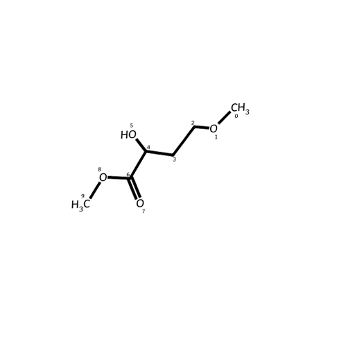 COCCC(O)C(=O)OC